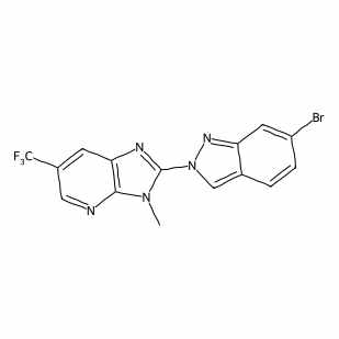 Cn1c(-n2cc3ccc(Br)cc3n2)nc2cc(C(F)(F)F)cnc21